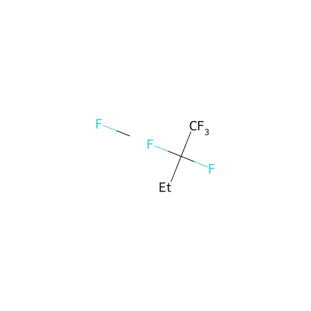 CCC(F)(F)C(F)(F)F.CF